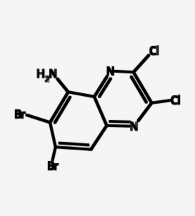 Nc1c(Br)c(Br)cc2nc(Cl)c(Cl)nc12